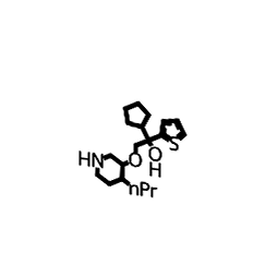 CCCC1CCNCC1OCC(O)(c1cccs1)C1CCCC1